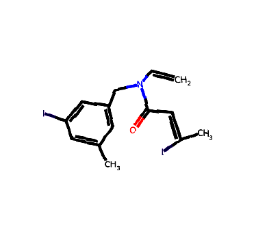 C=CN(Cc1cc(C)cc(I)c1)C(=O)C=C(C)I